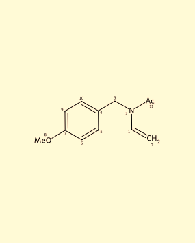 C=CN(Cc1ccc(OC)cc1)C(C)=O